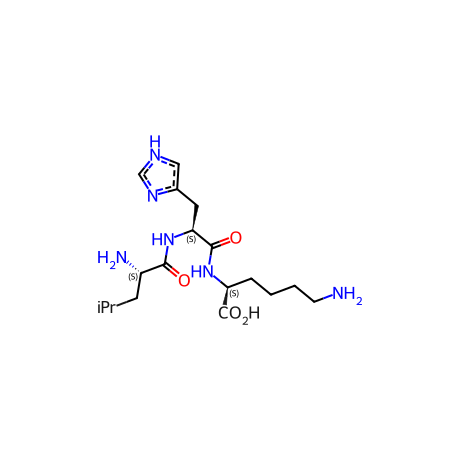 CC(C)C[C@H](N)C(=O)N[C@@H](Cc1c[nH]cn1)C(=O)N[C@@H](CCCCN)C(=O)O